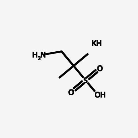 CC(C)(CN)S(=O)(=O)O.[KH]